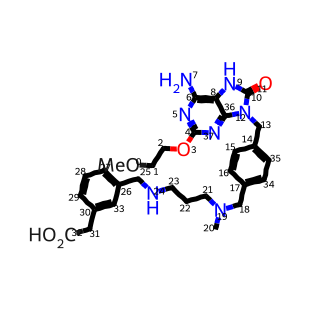 COCCOc1nc(N)c2[nH]c(=O)n(Cc3ccc(CN(C)CCCNCc4cccc(CC(=O)O)c4)cc3)c2n1